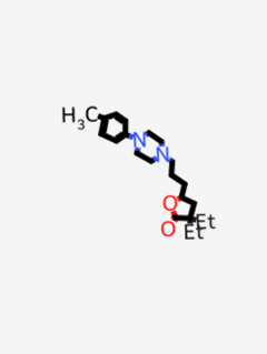 CCC1(CC)CC(CCCN2CCN(c3ccc(C)cc3)CC2)OC1=O